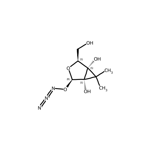 CC1(C)[C@]2(O)[C@H](CO)O[C@H](ON=[N+]=[N-])[C@]12O